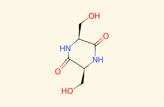 O=C1N[C@@H](CO)C(=O)N[C@H]1CO